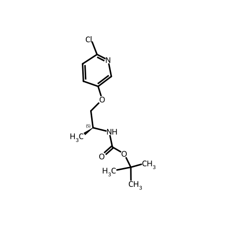 C[C@@H](COc1ccc(Cl)nc1)NC(=O)OC(C)(C)C